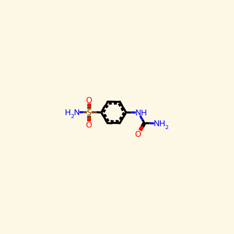 NC(=O)Nc1ccc(S(N)(=O)=O)cc1